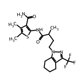 Cc1sc(NC(=O)C(C)CCn2nc(C(F)(F)F)c3c2CCCC3)c(C(N)=O)c1C